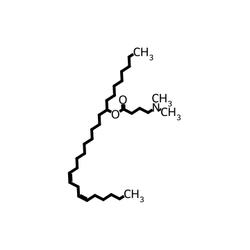 CCCCC/C=C\C/C=C\CCCCCCCCC(CCCCCCCC)OC(=O)CCCN(C)C